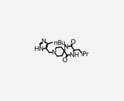 CCCCN1C(=O)C(CC(C)C)NC(=O)C12CCN(Cc1[nH]cnc1C)CC2